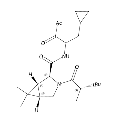 CC(=O)C(=O)C(CC1CC1)NC(=O)[C@@H]1[C@@H]2[C@H](CN1C(=O)[C@@H](C)C(C)(C)C)C2(C)C